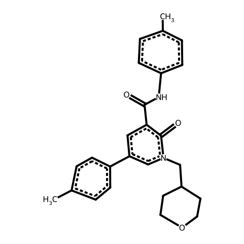 Cc1ccc(NC(=O)c2cc(-c3ccc(C)cc3)cn(CC3CCOCC3)c2=O)cc1